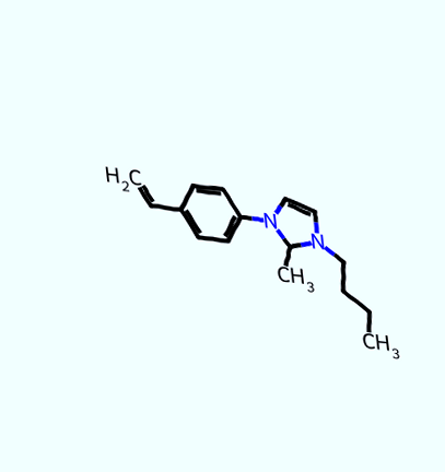 C=Cc1ccc(N2C=CN(CCCC)C2C)cc1